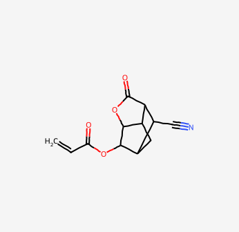 C=CC(=O)OC1C2CC3C1OC(=O)C3C2C#N